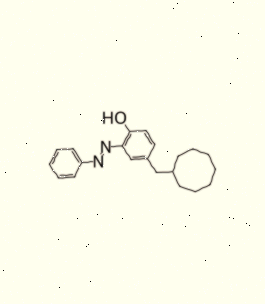 Oc1ccc(CC2CCCCCCC2)cc1/N=N/c1ccccc1